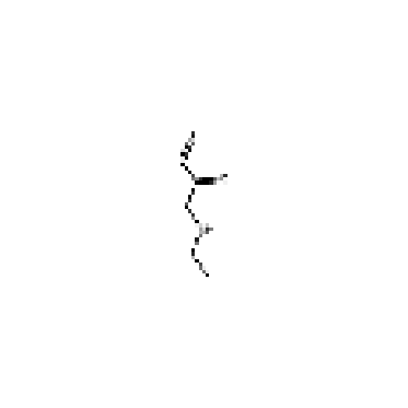 CCNCC(=O)C=S